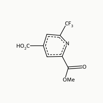 COC(=O)c1cc(C(=O)O)cc(C(F)(F)F)n1